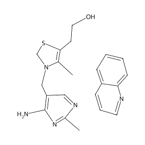 CC1=C(CCO)SCN1Cc1cnc(C)nc1N.c1ccc2ncccc2c1